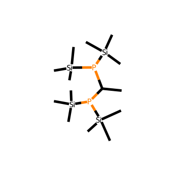 CC(P([Si](C)(C)C)[Si](C)(C)C)P([Si](C)(C)C)[Si](C)(C)C